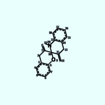 C=C1Cc2ccccc2OC12C(=C)Cc1ccccc1N2C